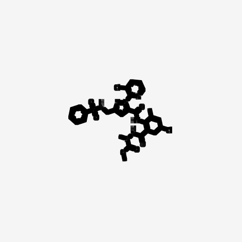 COC(=O)N(C)NC(=O)C1=C(NC(=O)c2cc(CNS(=O)(=O)c3ccccc3)nn2-c2ncccc2Cl)C(C)=CC(Cl)C1